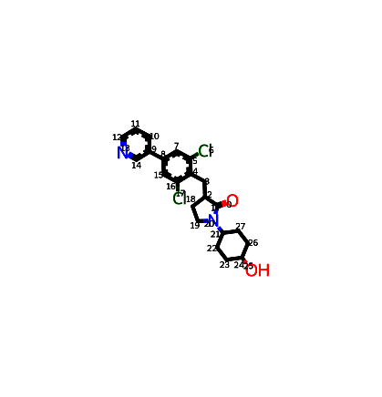 O=C1C(Cc2c(Cl)cc(-c3cccnc3)cc2Cl)CCN1C1CCC(O)CC1